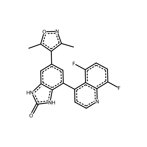 Cc1noc(C)c1-c1cc(-c2ccnc3c(F)ccc(F)c23)c2[nH]c(=O)[nH]c2c1